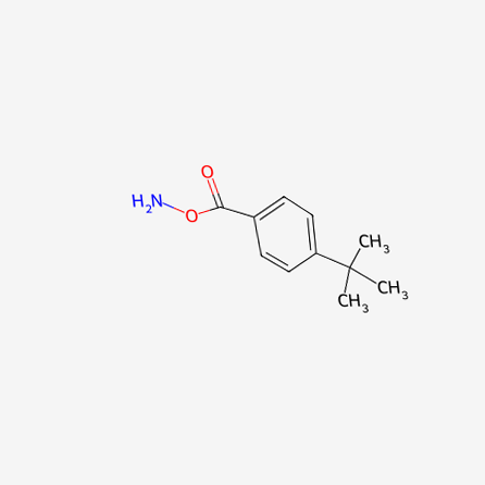 CC(C)(C)c1ccc(C(=O)ON)cc1